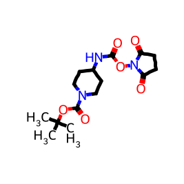 CC(C)(C)OC(=O)N1CCC(NC(=O)ON2C(=O)CCC2=O)CC1